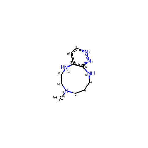 CN1CCCNc2nnccc2NCC1